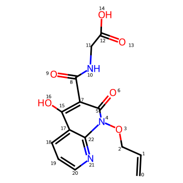 C=CCOn1c(=O)c(C(=O)NCC(=O)O)c(O)c2cccnc21